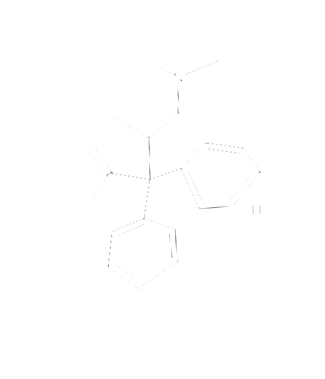 CCC(=O)C(c1ccccc1)(c1ccccc1)C(C)CN(C)C.Cl